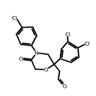 O=CCC1(c2ccc(Cl)c(Cl)c2)CN(c2ccc(Cl)cc2)C(=O)CO1